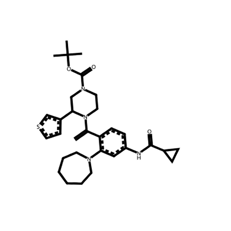 C=C(c1ccc(NC(=O)C2CC2)cc1N1CCCCCC1)N1CCN(C(=O)OC(C)(C)C)CC1c1ccsc1